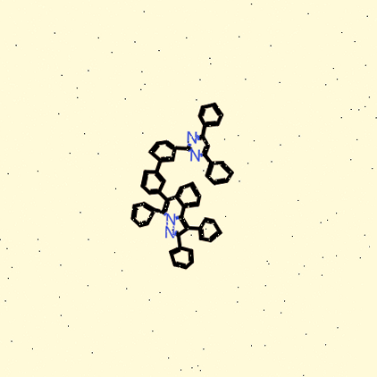 c1ccc(-c2cc(-c3ccccc3)nc(-c3cccc(-c4cccc(-c5c(-c6ccccc6)n6nc(-c7ccccc7)c(-c7ccccc7)c6c6ccccc56)c4)c3)n2)cc1